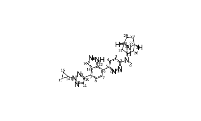 CN(c1ccc(-c2ccc(-c3cnn(C4CC4)n3)c3cn[nH]c23)nn1)C1C[C@H]2CC[C@@H](C1)N2